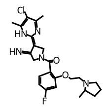 CC1=N/C(=C2\CN(C(=O)c3ccc(F)cc3OCCN3CCCC3C)CC2=N)NC(C)=C1Cl